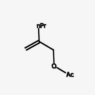 C=C(CCC)COC(C)=O